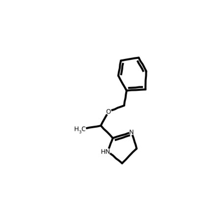 CC(OCc1ccccc1)C1=NCCN1